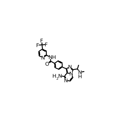 CNC(C)c1nc(-c2ccc(C(=O)Nc3cc(C(F)(F)F)ccn3)cc2)c2c(N)nccn12